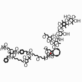 COC(=O)CC1=C2/C(=C/CSSC(C)(C)CCC(=O)CCCNC(=O)OCc3ccc(NC(=O)[C@H](CCCNC(N)=O)CC(=O)[C@H](Cc4ccccc4)NC(=O)CCCCCN4C(=O)CC(C(C)(C)C)C4=O)cc3)[C@](O)(C#C/C=C\C#C[C@@H]2OC2OC(C)C(NOC3CC(O)C(SC(=O)c4c(C)c(I)c(OC5OC(C)C(O)C(OC)C5O)c(C)c4OC)C(C)O3)C(O)C2OC2CC(C)C(CC(C)=O)CO2)CC1=O